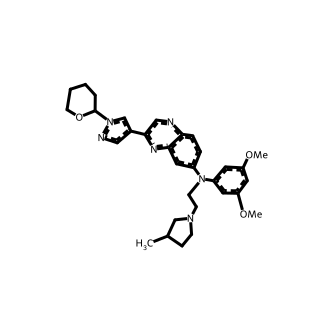 COc1cc(OC)cc(N(CCN2CCC(C)C2)c2ccc3ncc(-c4cnn(C5CCCCO5)c4)nc3c2)c1